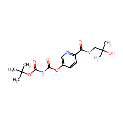 CC(C)(O)CNC(=O)c1ccc(OC(=O)NC(=O)OC(C)(C)C)cn1